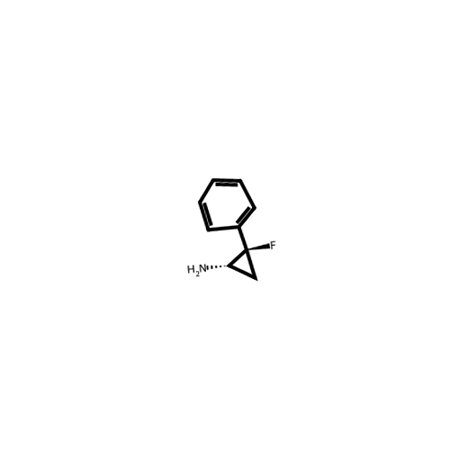 N[C@H]1C[C@@]1(F)c1ccccc1